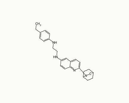 CCc1ccc(NCCNc2ccc3nc(N4CC5CCC4CC5)ccc3c2)cc1